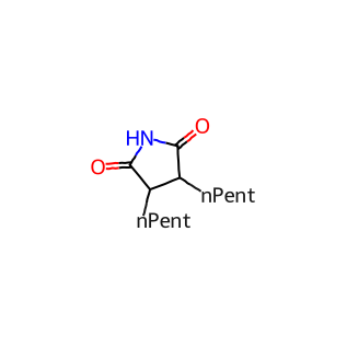 CCCCCC1C(=O)NC(=O)C1CCCCC